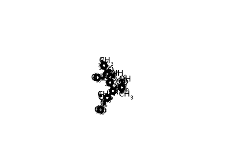 COc1cc(-c2cnc(N)c(-c3ccc(-c4c(C(N)=O)c(=O)c(-c5ccc(C)cc5)cn4CC4CCOCC4)cc3)c2)ccc1OC[C@H]1COCCO1.Cc1ccc(S(=O)(=O)O)cc1